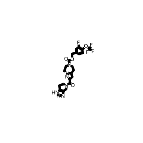 O=C(OCc1ccc(OC(F)(F)F)c(F)c1)N1CCc2cc(C(=O)N3CCc4[nH]nnc4C3)nn2CC1